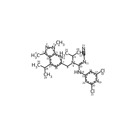 Cc1nn(C)c2nc(CN(/C(=N\C#N)Nc3cc(Cl)nc(Cl)c3)C(C)C)cc(C(C)C)c12